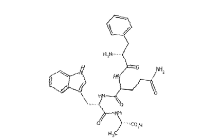 C[C@H](NC(=O)[C@H](Cc1c[nH]c2ccccc12)NC(=O)[C@H](CCC(N)=O)NC(=O)[C@H](N)Cc1ccccc1)C(=O)O